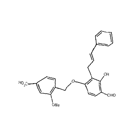 COc1cc(C(=O)O)ccc1COc1ccc(C=O)c(O)c1CC=Cc1ccccc1